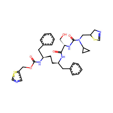 O=C(N[C@H](CC[C@H](Cc1ccccc1)NC(=O)[C@H](CO)NC(=O)N(CC1CN=CS1)C1CC1)Cc1ccccc1)OCc1cncs1